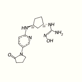 NC(=NO)N[C@H]1CC[C@H](Nc2ccc(N3CCCC3=O)cn2)C1